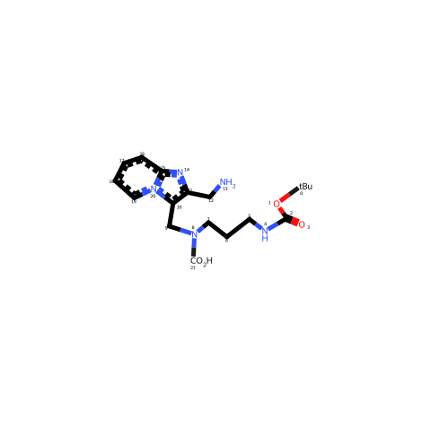 CC(C)(C)OC(=O)NCCCN(Cc1c(CN)nc2ccccn12)C(=O)O